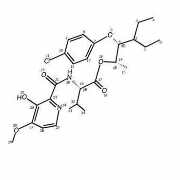 CCC(CC)[C@@H](Oc1ccc(Cl)cc1)[C@H](C)OC(=O)[C@@H](NC(=O)c1nccc(OC)c1O)C(C)C